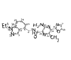 CCn1ncc2c(CNC(=O)c3nc(C)c(-c4ncco4)nc3N)cccc21